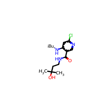 CC[C@@H](C)Nc1cc(Cl)ncc1C(=O)NCCC(C)(C)O